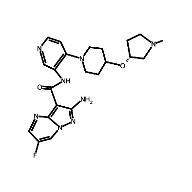 CN1CC[C@@H](OC2CCN(c3ccncc3NC(=O)c3c(N)nn4cc(F)cnc34)CC2)C1